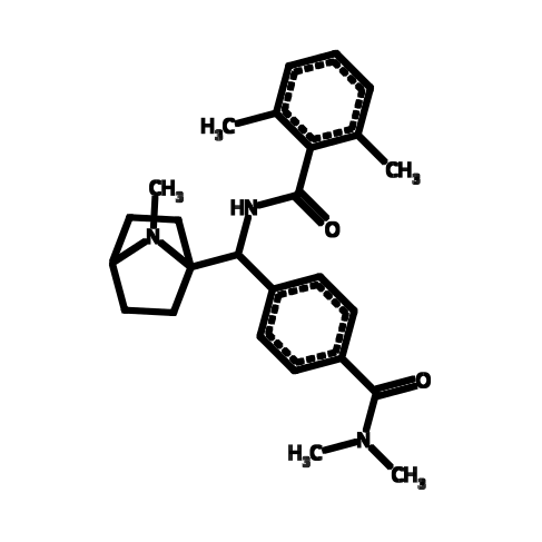 Cc1cccc(C)c1C(=O)NC(c1ccc(C(=O)N(C)C)cc1)C12CCC(CC1)N2C